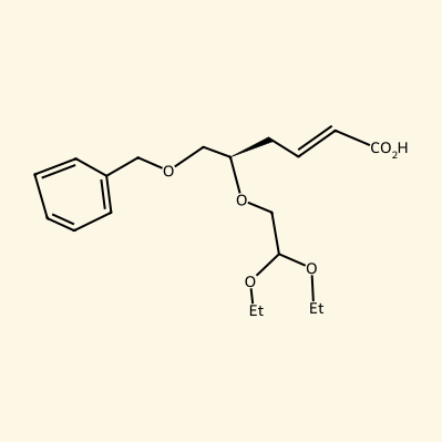 CCOC(CO[C@H](C/C=C/C(=O)O)COCc1ccccc1)OCC